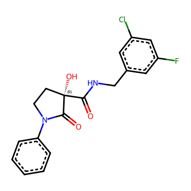 O=C(NCc1cc(F)cc(Cl)c1)[C@]1(O)CCN(c2ccccc2)C1=O